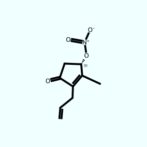 C=CCC1=C(C)[C@@H](O[N+](=O)[O-])CC1=O